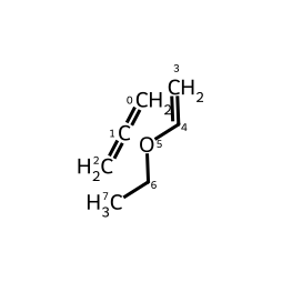 C=C=C.C=COCC